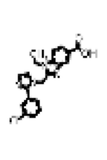 CCn1c(Cn2ccnc2-c2cccc(Cl)c2)nc2cc(C(=O)O)ccc21